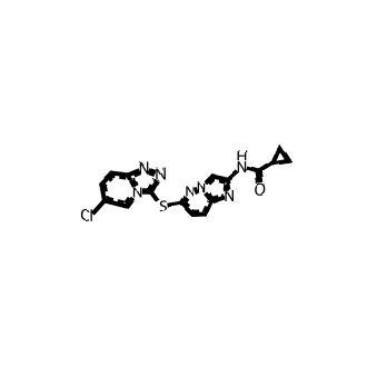 O=C(Nc1cn2nc(Sc3nnc4ccc(Cl)cn34)ccc2n1)C1CC1